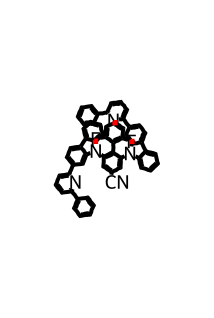 N#Cc1cc(-n2c3ccccc3c3ccc(-c4cccc(-c5ccccc5)n4)cc32)c(-c2c(F)cccc2F)c(-n2c3ccccc3c3ccc(-c4cccc(-c5ccccc5)n4)cc32)c1